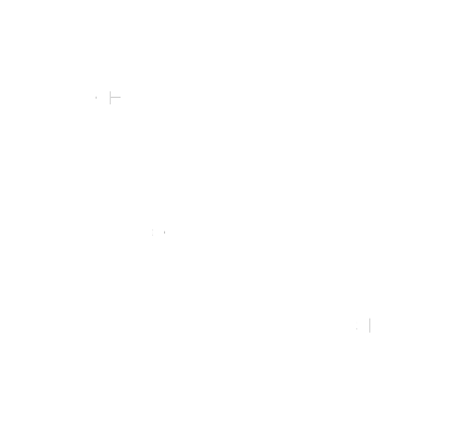 C=CCOc1ccc(Cl)cc1